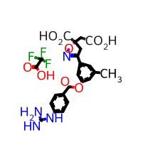 Cc1cc(OC(=O)c2ccc(NC(=N)N)cc2)cc(C2=NOC(CC(=O)O)(C(=O)O)C2)c1.O=C(O)C(F)(F)F